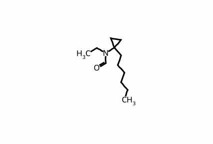 CCCCCCC1(N(C=O)CC)CC1